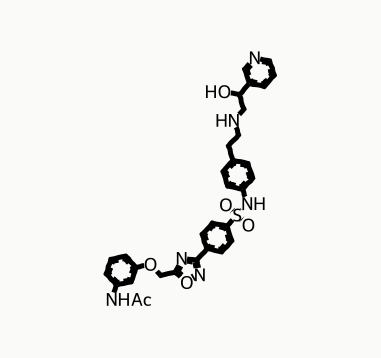 CC(=O)Nc1cccc(OCc2nc(-c3ccc(S(=O)(=O)Nc4ccc(CCNCC(O)c5cccnc5)cc4)cc3)no2)c1